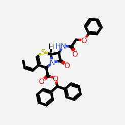 C/C=C\C1=CS[C@@H]2C(NC(=O)COc3ccccc3)C(=O)N2C1C(=O)OC(c1ccccc1)c1ccccc1